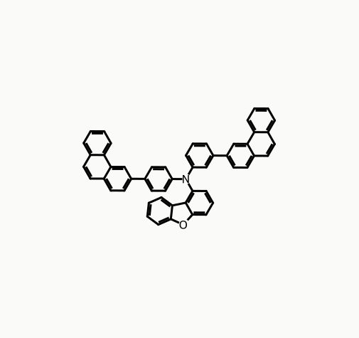 c1cc(-c2ccc3ccc4ccccc4c3c2)cc(N(c2ccc(-c3ccc4ccc5ccccc5c4c3)cc2)c2cccc3oc4ccccc4c23)c1